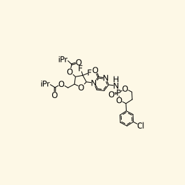 CC(C)C(=O)OCC1OC(n2ccc(NP3(=O)OCCC(c4cccc(Cl)c4)O3)nc2=O)C(F)(F)C1OC(=O)C(C)C